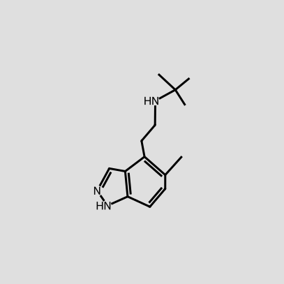 Cc1ccc2[nH]ncc2c1CCNC(C)(C)C